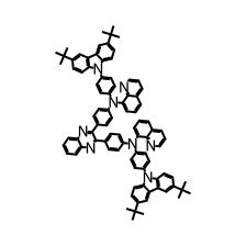 CC(C)(C)c1ccc2c(c1)c1cc(C(C)(C)C)ccc1n2-c1ccc(N(c2ccc(-c3nc4ccccc4nc3-c3ccc(N(c4ccc(-n5c6ccc(C(C)(C)C)cc6c6cc(C(C)(C)C)ccc65)cc4)c4cccc5cccnc45)cc3)cc2)c2cccc3cccnc23)cc1